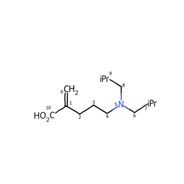 C=C(CCCN(CC(C)C)CC(C)C)C(=O)O